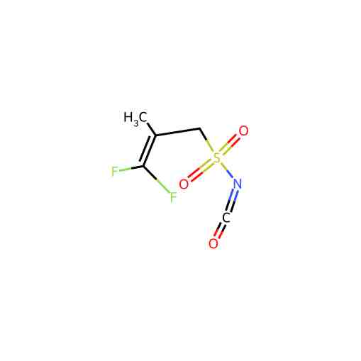 CC(CS(=O)(=O)N=C=O)=C(F)F